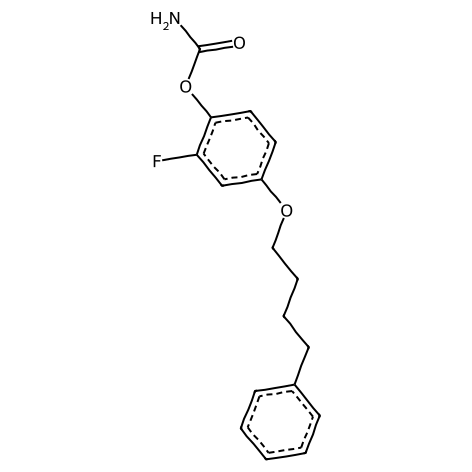 NC(=O)Oc1ccc(OCCCCc2ccccc2)cc1F